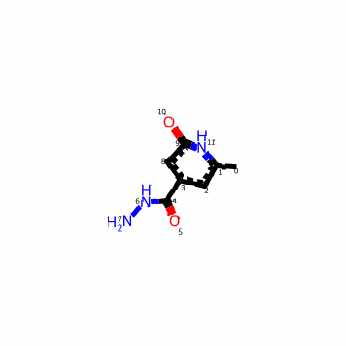 Cc1cc(C(=O)NN)cc(=O)[nH]1